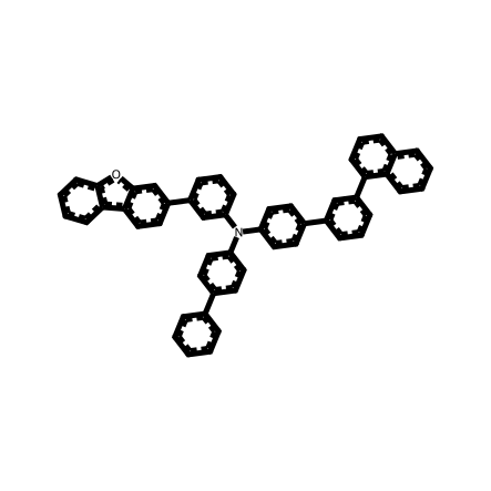 c1ccc(-c2ccc(N(c3ccc(-c4cccc(-c5cccc6ccccc56)c4)cc3)c3cccc(-c4ccc5c(c4)oc4ccccc45)c3)cc2)cc1